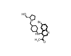 CC(=O)c1cnc2ccc(Br)cc2c1NC1CCC(CN2CCC[C@@H]2CO)CC1